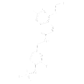 CS(=O)(=O)Nc1ccc(CNC(=O)/C=C\c2ccc(C(F)(F)F)nc2OCC(F)(F)F)cc1F